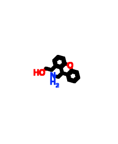 NCC1c2ccccc2Oc2cccc(CCO)c21